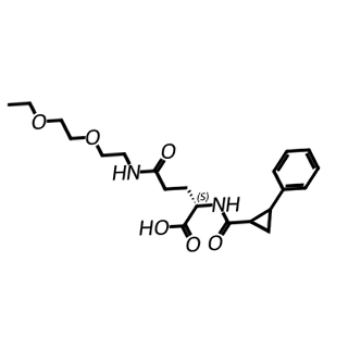 CCOCCOCCNC(=O)CC[C@H](NC(=O)C1CC1c1ccccc1)C(=O)O